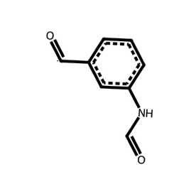 O=[C]c1cccc(NC=O)c1